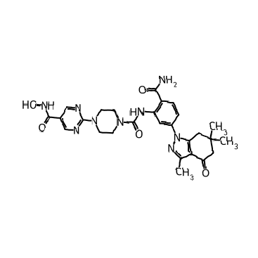 Cc1nn(-c2ccc(C(N)=O)c(NC(=O)N3CCN(c4ncc(C(=O)NO)cn4)CC3)c2)c2c1C(=O)CC(C)(C)C2